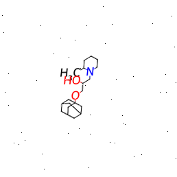 CC1CCCCN1CC(O)COC12CC3CC(CC(C3)C1)C2